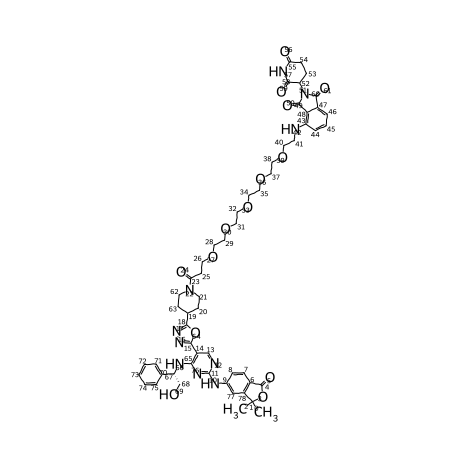 CC1(C)OC(=O)c2ccc(Nc3ncc(-c4nnc(C5CCN(C(=O)CCOCCOCCOCCOCCOCCNc6cccc7c6C(=O)N(C6CCC(=O)NC6=O)C7=O)CC5)o4)c(N[C@H](CO)c4ccccc4)n3)cc21